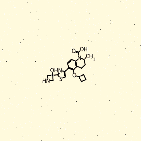 C[C@H]1CCc2c(ccc(-c3csc(C4(O)CNC4)n3)c2OC2CCC2)N1C(=O)O